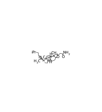 CC(C)CCC[C@@H](C)[C@H]1CC[C@H]2[C@@H]3CCC(=O)[C@](C)(CCCC(N)=O)[C@H]3CC[C@]12C